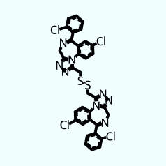 Clc1ccc2c(c1)C(c1ccccc1Cl)=NCc1nnc(CSSCc3nnc4n3-c3ccc(Cl)cc3C(c3ccccc3Cl)=NC4)n1-2